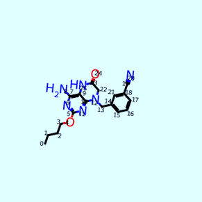 CCCCOc1nc(N)c2c(n1)N(Cc1cccc(C#N)c1)CC(=O)N2